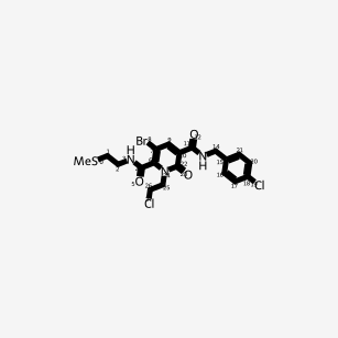 CSCCNC(=O)c1c(Br)cc(C(=O)NCc2ccc(Cl)cc2)c(=O)n1CCCl